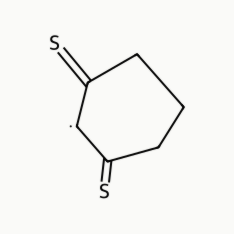 S=C1[CH]C(=S)CCC1